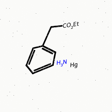 CCOC(=O)Cc1ccccc1.N.[Hg]